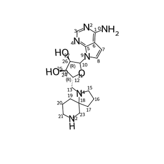 Nc1ncnc2c1ccn2C1O[C@H](CN2CCCC23CCCNC3)[C@@H](O)[C@H]1O